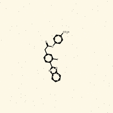 O=C(Cc1ccc(-c2nc3ccccc3o2)c(F)c1)Oc1ccc(C(=O)O)cc1